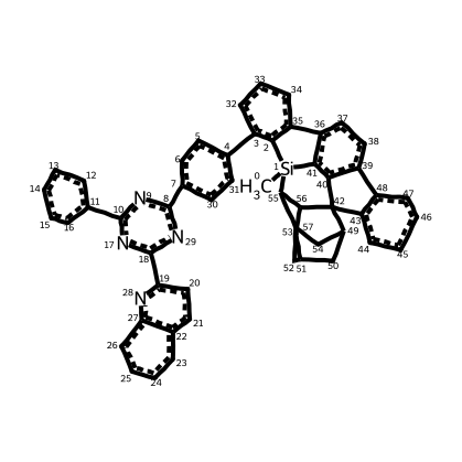 C[Si]12c3c(-c4ccc(-c5nc(-c6ccccc6)nc(-c6ccc7ccccc7n6)n5)cc4)cccc3-c3ccc4c(c31)C1(c3ccccc3-4)C3CC4CC(C3)C2C1C4